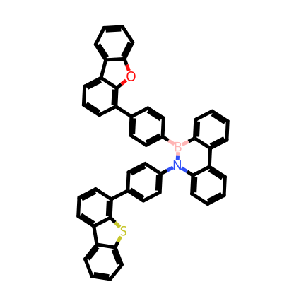 c1ccc2c(c1)B(c1ccc(-c3cccc4c3oc3ccccc34)cc1)N(c1ccc(-c3cccc4c3sc3ccccc34)cc1)c1ccccc1-2